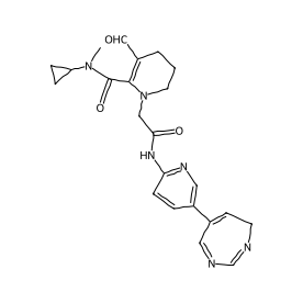 CN(C(=O)C1=C(C=O)CCCN1CC(=O)Nc1ccc(C2=CCN=CN=C2)cn1)C1CC1